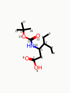 CCC(CC)C(CC(=O)O)NC(=O)OC(C)(C)C